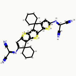 N#CC(C#N)=NC1=Cc2sc3c4c(sc3c2C12CCCCC2)-c1sc(N=C(C#N)C#N)cc1C41CCCCC1